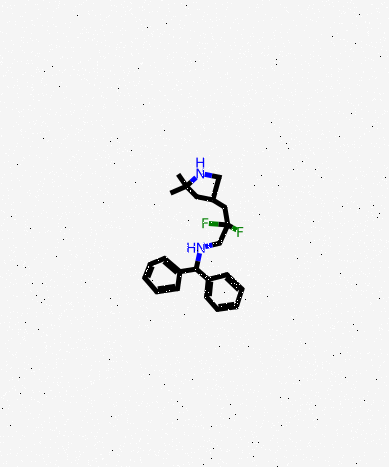 CC1(C)CC(CC(F)(F)CNC(c2ccccc2)c2ccccc2)CN1